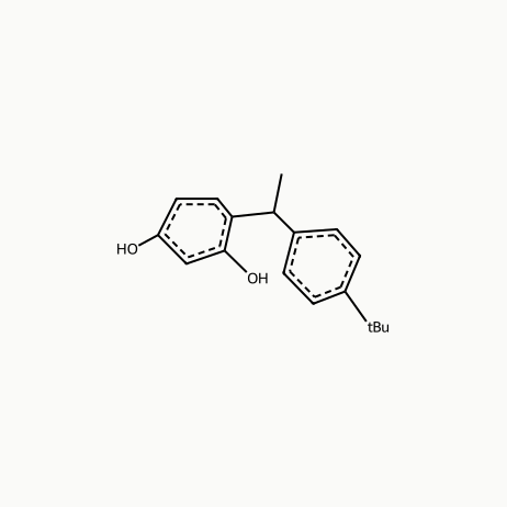 CC(c1ccc(C(C)(C)C)cc1)c1ccc(O)cc1O